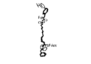 CCCCCCC(C/C=C\CCCCCCCC(=O)OCC(=O)NCc1ccc(O)cc1)OC(=O)Cc1ccccc1